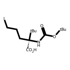 CC(C)(C)OC(=O)N[C@](CCCI)(C(=O)O)C(C)(C)C